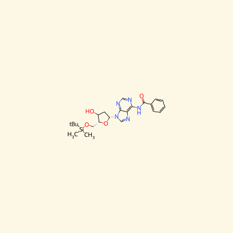 CC(C)(C)[Si](C)(C)OC[C@H]1O[C@@H](n2cnc3c(NC(=O)c4ccccc4)ncnc32)CC1O